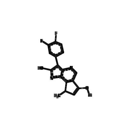 CCOC1=CC(C)c2c1cnc1c(-c3ccc(F)c(F)c3)c(O)nn21